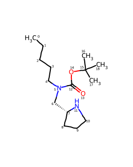 CCCCCN(C[C@H]1CCCN1)C(=O)OC(C)(C)C